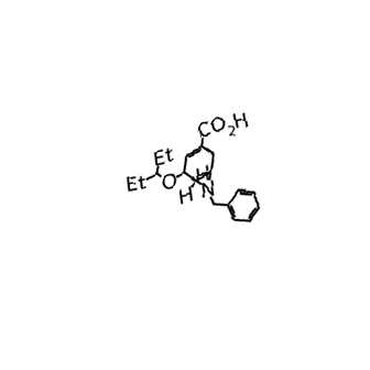 CCC(CC)O[C@H]1C=C(C(=O)O)C[C@H]2[C@@H]1N2Cc1ccccc1